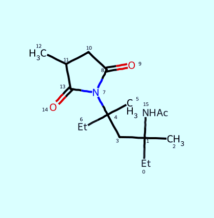 CCC(C)(CC(C)(CC)N1C(=O)CC(C)C1=O)NC(C)=O